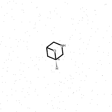 C1NC[C@H]2CC1O2